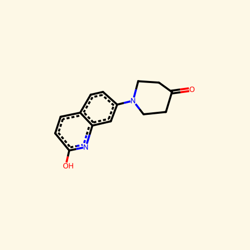 O=C1CCN(c2ccc3ccc(O)nc3c2)CC1